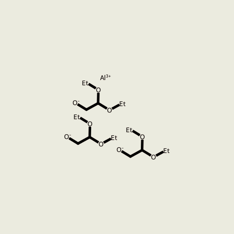 CCOC(C[O-])OCC.CCOC(C[O-])OCC.CCOC(C[O-])OCC.[Al+3]